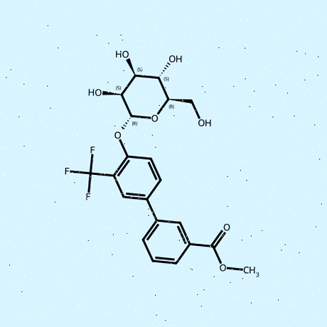 COC(=O)c1cccc(-c2ccc(O[C@H]3O[C@H](CO)[C@@H](O)[C@H](O)[C@@H]3O)c(C(F)(F)F)c2)c1